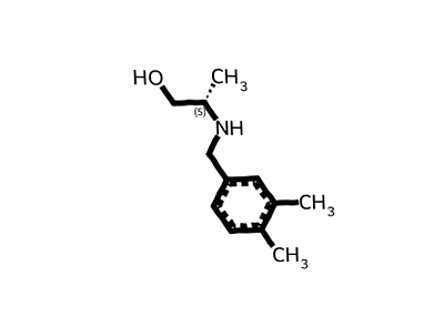 Cc1ccc(CN[C@@H](C)CO)cc1C